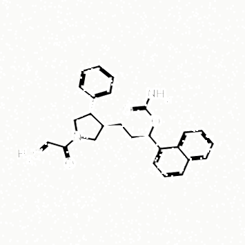 C=CC(=O)N1C[C@H](CC[C@@H](OC(N)=O)c2cccc3ccccc23)[C@@H](c2ccccc2)C1